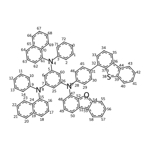 c1ccc(N(c2cc(N(c3ccccc3)c3cccc4ccccc34)cc(N(c3ccc(-c4cccc5c4sc4ccccc45)cc3)c3cccc4c3oc3ccccc34)c2)c2cccc3ccccc23)cc1